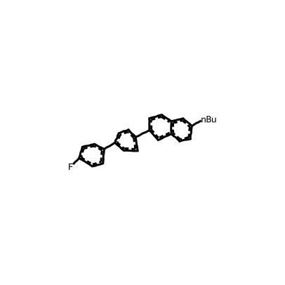 CCCCc1ccc2cc(-c3ccc(-c4ccc(F)cc4)cc3)ccc2c1